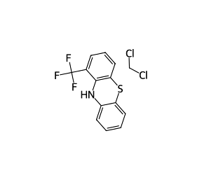 ClCCl.FC(F)(F)c1cccc2c1Nc1ccccc1S2